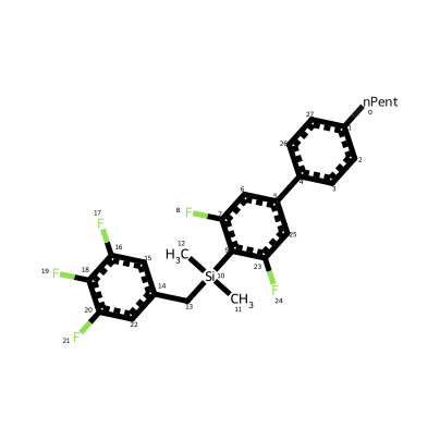 CCCCCc1ccc(-c2cc(F)c([Si](C)(C)Cc3cc(F)c(F)c(F)c3)c(F)c2)cc1